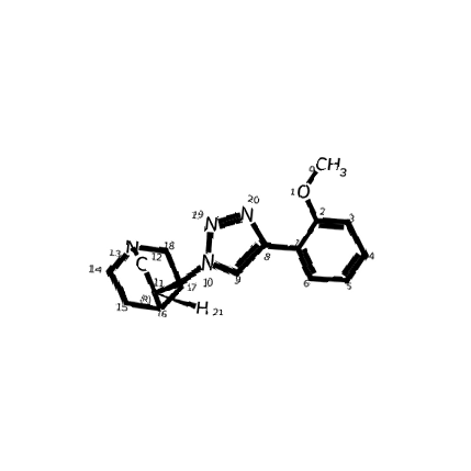 COc1ccccc1-c1cn([C@H]2CN3CCC2CC3)nn1